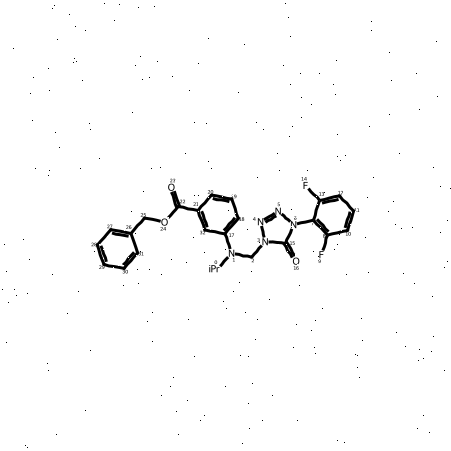 CC(C)N(Cn1nnn(-c2c(F)cccc2F)c1=O)c1cccc(C(=O)OCc2ccccc2)c1